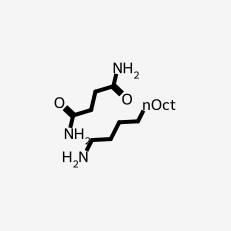 CCCCCCCCCCCCN.NC(=O)CCC(N)=O